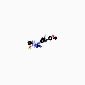 CC(C)(C)[Si](C)(C)O[C@H]1CC[C@@H](CN[C@@H]2[C@@H]3CC4C[C@H]2C[C@@](CNc2nc(NCc5ccccc5OC(F)(F)F)ncc2C#N)(C4)C3)CC1